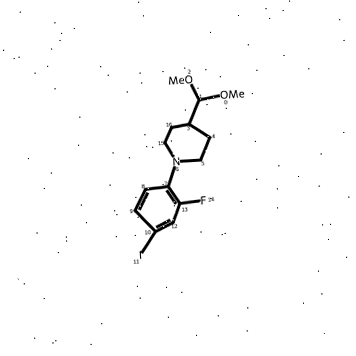 COC(OC)C1CCN(c2ccc(I)cc2F)CC1